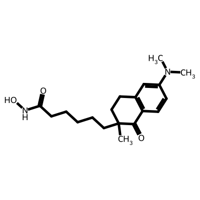 CN(C)c1ccc2c(c1)CCC(C)(CCCCCC(=O)NO)C2=O